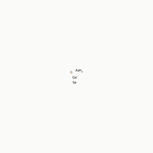 [AsH3].[Ge].[S].[Se]